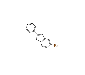 Brc1ccc2c(c1)C=C(c1ccccc1)C2